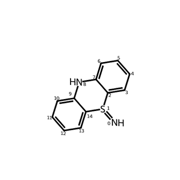 N=S1c2ccccc2Nc2ccccc21